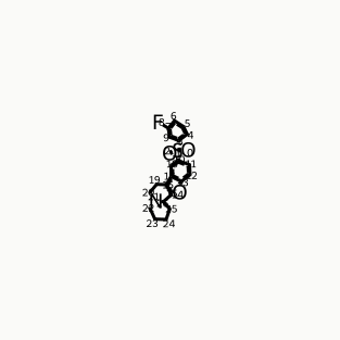 O=S(=O)(c1cccc(F)c1)c1ccc2oc3c(c2c1)CCN1CCCCC31